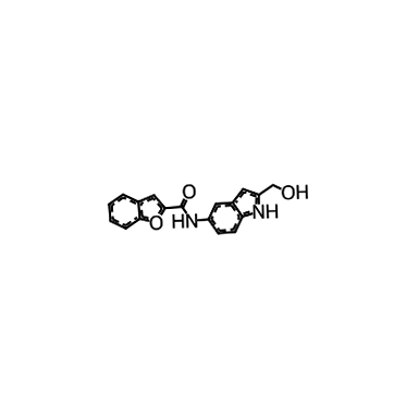 O=C(Nc1ccc2[nH]c(CO)cc2c1)c1cc2ccccc2o1